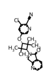 CC1(C)[C@H](Oc2cnc(C#N)c(Cl)c2)C(C)(C)[C@H]1N1Cc2ncccc2C1=O